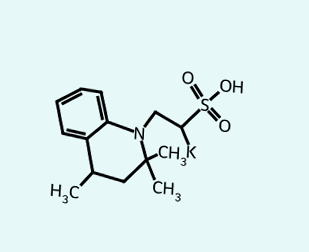 CC1CC(C)(C)N(C[CH]([K])S(=O)(=O)O)c2ccccc21